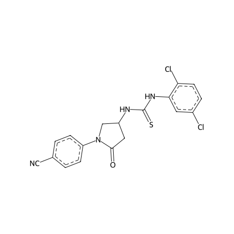 N#Cc1ccc(N2CC(NC(=S)Nc3cc(Cl)ccc3Cl)CC2=O)cc1